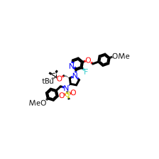 COc1ccc(COc2ccnc(N3CC[C@H](N(Cc4ccc(OC)cc4)S(C)(=O)=O)[C@@H]3CO[Si](C)(C)C(C)(C)C)c2F)cc1